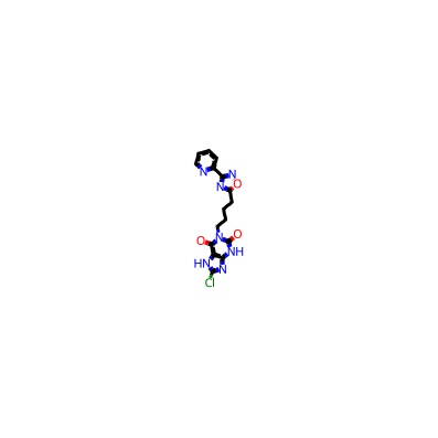 O=c1[nH]c2nc(Cl)[nH]c2c(=O)n1CCCCc1nc(-c2ccccn2)no1